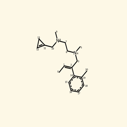 C/C=C(/CN(C)CCN(C)CC1=CC1)c1ccccc1C